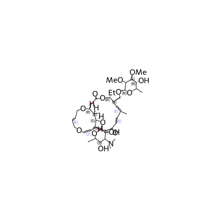 CC[C@H]1OC(=O)C[C@H]2OC/C=C/CO/C=C\[C@@H](C[C@@H](C)C(=O)/C=C/C(C)=C/[C@@H]1CO[C@@H]1OC(C)[C@@H](O)[C@H](OC)C1OC)[C@H](O[C@@H]1OC(C)[C@@H](O)C(N(C)C)C1O)[C@H]2C